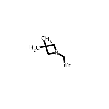 CC(C)CN1CC(C)(C)C1